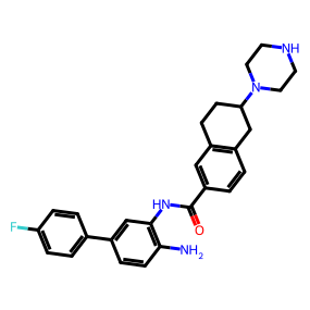 Nc1ccc(-c2ccc(F)cc2)cc1NC(=O)c1ccc2c(c1)CCC(N1CCNCC1)C2